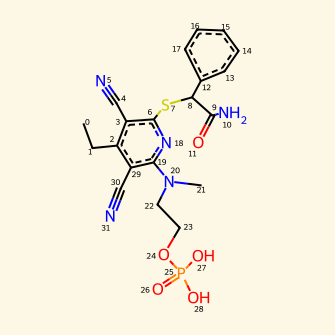 CCc1c(C#N)c(SC(C(N)=O)c2ccccc2)nc(N(C)CCOP(=O)(O)O)c1C#N